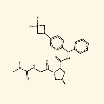 CN(C)C(=O)NCC(=O)N1C[C@H](F)C[C@H]1C(=O)N[C@@H](c1ccccc1)c1ccc(C2CC(F)(F)C2)cn1